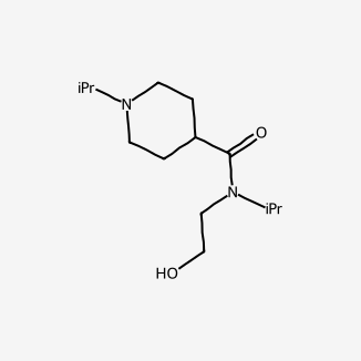 CC(C)N1CCC(C(=O)N(CCO)C(C)C)CC1